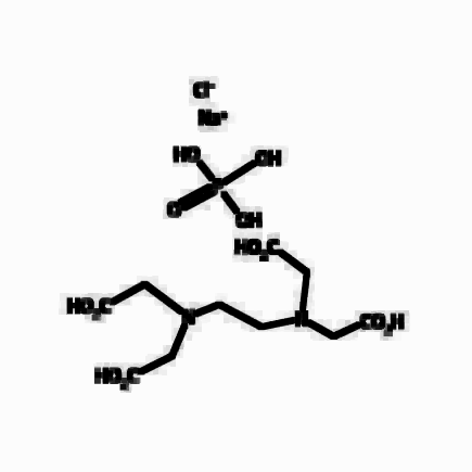 O=C(O)CN(CCN(CC(=O)O)CC(=O)O)CC(=O)O.O=P(O)(O)O.[Cl-].[Na+]